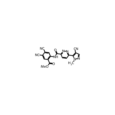 COC(=O)c1cc(C#N)c(C#N)cc1NC(=O)c1ccc(-c2c(C#N)cnn2C)nn1